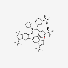 CC(C)(C)C1=CC(C)(C)c2cc3c(cc21)-c1cc2c(cc1[CH]3[Zr]([C]1=CC=CC1)=[C](c1cccc(C(F)(F)F)c1)c1cccc(C(F)(F)F)c1)C(C)(C)C=C2C(C)(C)C